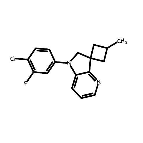 CC1CC2(C1)CN(c1ccc(Cl)c(F)c1)c1cccnc12